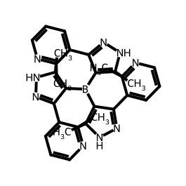 Cc1ncccc1-c1n[nH]c(C)c1B(c1c(-c2cccnc2C)n[nH]c1C)c1c(-c2cccnc2C)n[nH]c1C